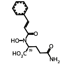 NC(=O)CC[C@@H](C(=O)O)N(O)C(=O)C=Cc1ccccc1